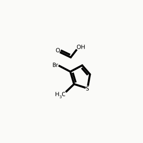 Cc1sccc1Br.O=CO